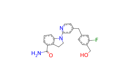 NC(=O)c1cccc2c1CCN2c1cc(Cc2ccc(CO)c(F)c2)ccn1